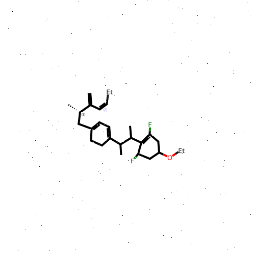 C=C(/C=C\CC)[C@@H](C)CC1=CC=C(C(C)C(C)C2=C(F)CC(OCC)CC2F)CC1